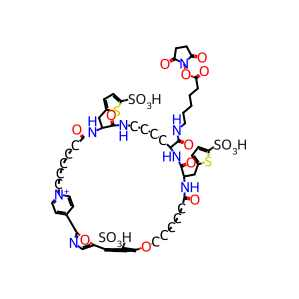 O=C1CCCCC[n+]2ccc(cc2)-c2ncc(o2)-c2ccc(c(S(=O)(=O)O)c2)OCCCCCC(=O)NC(Cc2ccc(S(=O)(=O)O)s2)C(=O)NC(C(=O)NCCCCCC(=O)ON2C(=O)CCC2=O)CCCCNC(=O)C(Cc2ccc(S(=O)(=O)O)s2)N1